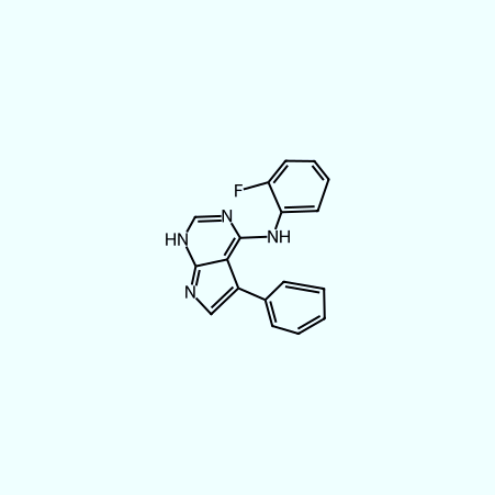 Fc1ccccc1Nc1nc[nH]c2ncc(-c3ccccc3)c1-2